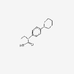 CCC(C(=O)O)c1ccc(C2CCCCC2)cc1